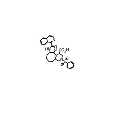 O=C(NC1CCCCC2CN(S(=O)(=O)c3ccccc3)CC(C(=O)O)N2C1=O)c1nccc2ccccc12